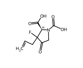 C=CCC1(F)C(=O)CN(C(=O)O)[C@@H]1C(=O)O